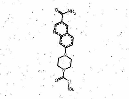 CC(C)(C)OC(=O)N1CCN(c2ccc3cc(C(N)=O)cnc3c2)CC1